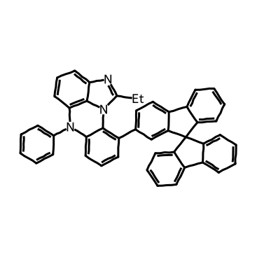 CCc1nc2cccc3c2n1-c1c(-c2ccc4c(c2)C2(c5ccccc5-c5ccccc52)c2ccccc2-4)cccc1N3c1ccccc1